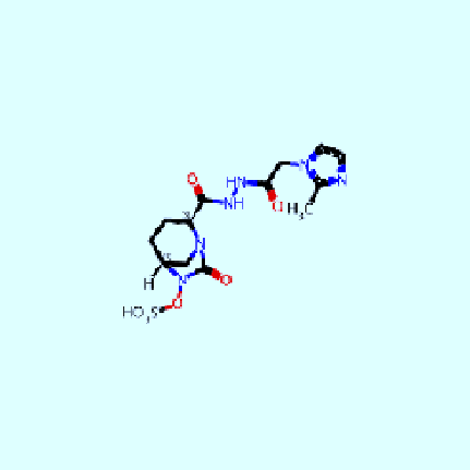 Cc1nccn1CC(=O)NNC(=O)[C@@H]1CC[C@@H]2CN1C(=O)N2OS(=O)(=O)O